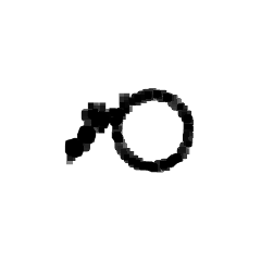 NC(=O)c1cc(N2CCC3(CCCCCCCCCCCCCCCCCCCCCCCCCCCCCCCCCCCCCCCNC3)C2)cnc1Oc1ccc(Oc2cccc(F)c2)cc1